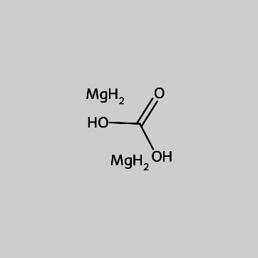 O=C(O)O.[MgH2].[MgH2]